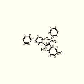 O=S(=O)(c1ccccc1)c1c(-c2nc(-c3ccccn3)cs2)[nH]c2ccc(Cl)cc12